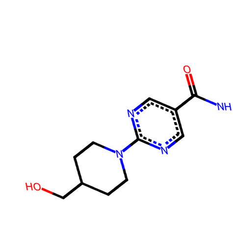 NC(=O)c1cnc(N2CCC(CO)CC2)nc1